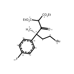 CCOC(=O)C(C(=O)OCC)C(=O)[C@@](C)(CCC(C)(C)C)c1ccc(F)cc1